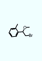 COC(CBr)c1ccccc1C